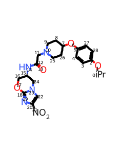 CC(C)Oc1ccc(OC2CCN(CC(=O)N[C@@H]3COc4nc([N+](=O)[O-])cn4C3)CC2)cc1